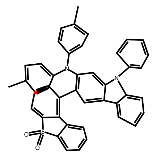 Cc1ccc(N(c2ccc(C)cc2)c2cc3c(cc2-c2cccc4c2-c2ccccc2S4(=O)=O)c2ccccc2n3-c2ccccc2)cc1